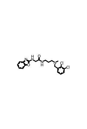 CN(CCCNC(=O)CNc1nc2ccccc2o1)Cc1cccc(Cl)c1Cl